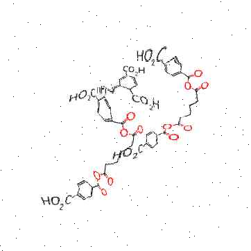 CCCC=C1C=C(C(=O)O)C=CC1C(=O)O.O=C(CCCCC(=O)OC(=O)c1ccc(C(=O)O)cc1)OC(=O)c1ccc(C(=O)O)cc1.O=C(CCCCC(=O)OC(=O)c1ccc(C(=O)O)cc1)OC(=O)c1ccc(C(=O)O)cc1